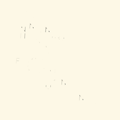 O=C1N=C(N2CCCCN2)S/C1=C\c1cc(F)ccc1OC(=O)N1CCC(N2CCCCC2)C1